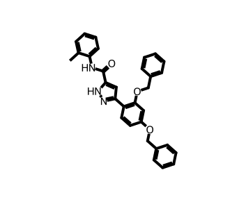 Cc1ccccc1NC(=O)c1cc(-c2ccc(OCc3ccccc3)cc2OCc2ccccc2)n[nH]1